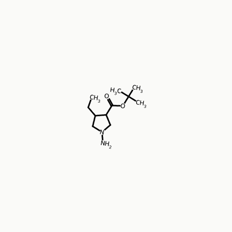 CCC1CN(N)CC1C(=O)OC(C)(C)C